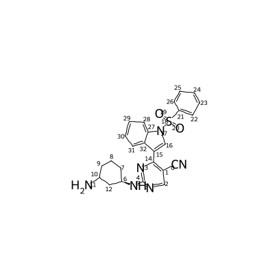 N#Cc1cnc(N[C@@H]2CCCC(N)C2)nc1-c1cn(S(=O)(=O)c2ccccc2)c2ccccc12